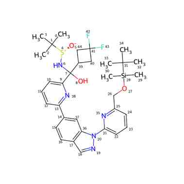 CC(C)(C)[S@@+]([O-])NC(O)(c1cccc(-c2ccc3cnn(-c4cccc(CO[Si](C)(C)C(C)(C)C)n4)c3c2)n1)C1CC(F)(F)C1